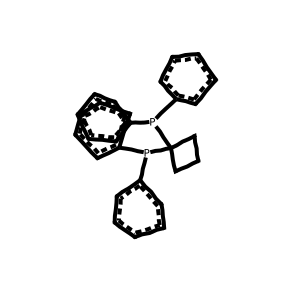 c1ccc(P(c2ccccc2)C2(P(c3ccccc3)c3ccccc3)CCC2)cc1